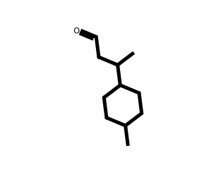 CC1CCC(C(C)CC=O)CC1